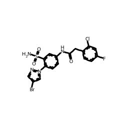 NS(=O)(=O)c1cc(NC(=O)Cc2ccc(F)cc2Cl)ccc1-n1cc(Br)cn1